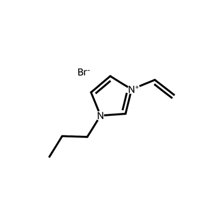 C=C[n+]1ccn(CCC)c1.[Br-]